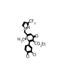 CCOC(=O)c1c(-c2ccc(Cl)c(Cl)c2)n(C)c(Cn2ccc(C(F)(F)F)n2)cc1=O